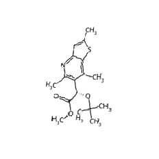 COC(=O)[C@@H](OC(C)(C)C)c1c(C)nc2cc(C)sc2c1C